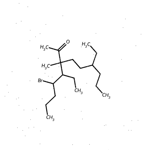 CCCC(CC)CCC(C)(C(C)=O)C(CC)C(Br)CCC